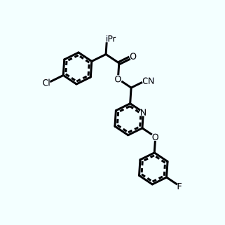 CC(C)C(C(=O)OC(C#N)c1cccc(Oc2cccc(F)c2)n1)c1ccc(Cl)cc1